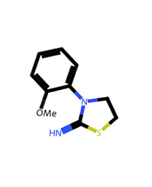 COc1ccccc1N1CCSC1=N